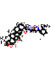 COc1ccccc1-c1cc(C[N]C(=O)[C@@]2(C)CC[C@]3(C)CC[C@]4(C)C(=CC(=O)C5[C@@]6(C)CC[C@@]([O])(O)C(C)(C)C6CC[C@]54C)[C@H]3C2)on1